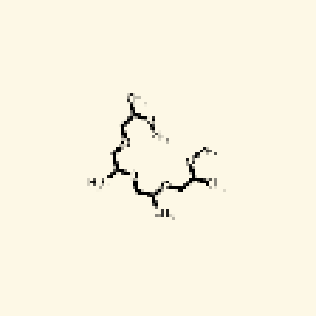 CC(COCC(C)OCC(C)OCC(C)OP)OP